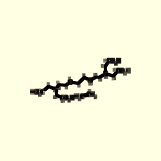 C=C.O=C(O)CN(CCOCCOCCN(CC(=O)O)CC(=O)O)CC(=O)O